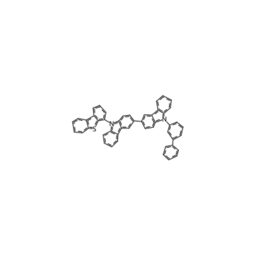 c1ccc(-c2cccc(-n3c4ccccc4c4cc(-c5ccc6c(c5)c5ccccc5n6-c5cccc6c5sc5ccccc56)ccc43)c2)cc1